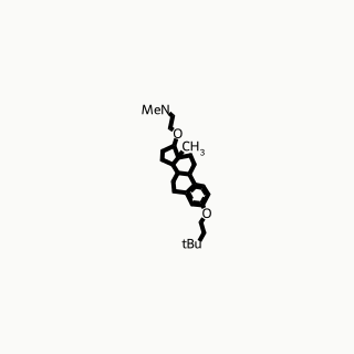 CNCCOC1CCC2C3CCc4cc(OCCC(C)(C)C)ccc4C3CCC12C